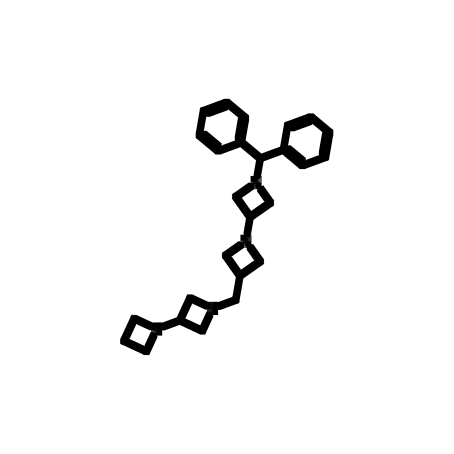 c1ccc(C(c2ccccc2)N2CC(N3CC(CN4CC(N5CCC5)C4)C3)C2)cc1